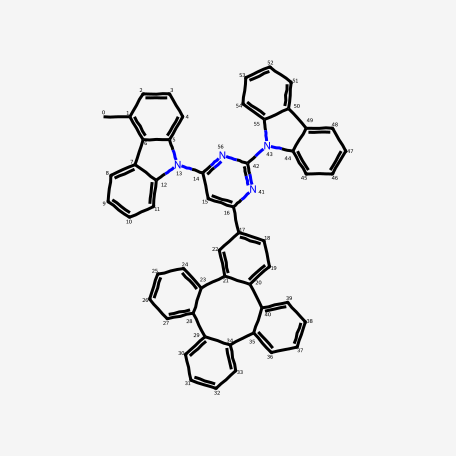 Cc1cccc2c1c1ccccc1n2-c1cc(-c2ccc3c(c2)-c2ccccc2-c2ccccc2-c2ccccc2-3)nc(-n2c3ccccc3c3ccccc32)n1